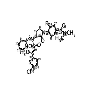 C/C(=C\S(=O)(=O)N(Cc1ccccn1)[C@H]1CCN(c2ccc(C(=O)N(C)C)cc2F)C1=O)c1ccc(Cl)s1